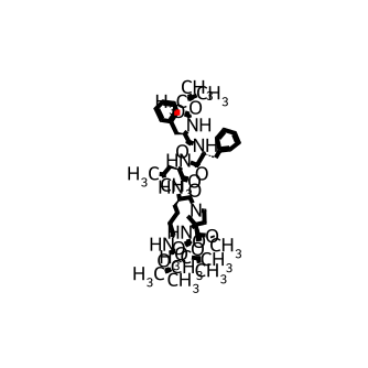 COC(=O)C1(NC(=O)OC(C)(C)C)CCN(C(=O)[C@@H](CCCCNC(=O)OC(C)(C)C)NC(=O)[C@@H](CC(C)C)NC(=O)[C@@H](Cc2ccccc2)NC(=O)[C@@H](Cc2ccccc2)NC(=O)OC(C)(C)C)C1